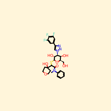 CN(C(=O)C(S[C@@H]1O[C@H](CO)[C@H](O)[C@H](n2cc(-c3cc(F)c(F)c(F)c3)nn2)[C@H]1O)C1(O)CCOCC1)c1ccccc1